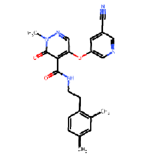 Cc1ccc(CCNC(=O)c2c(Oc3cncc(C#N)c3)cnn(C)c2=O)c(C)c1